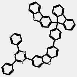 c1ccc(-c2nc(-c3ccccc3)nc(-c3ccc4oc5ccc(-c6ccc(C7(c8ccc9sc%10ccccc%10c9c8)c8ccccc8-c8ccccc87)cc6)cc5c4c3)n2)cc1